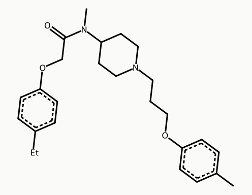 CCc1ccc(OCC(=O)N(C)C2CCN(CCCOc3ccc(C)cc3)CC2)cc1